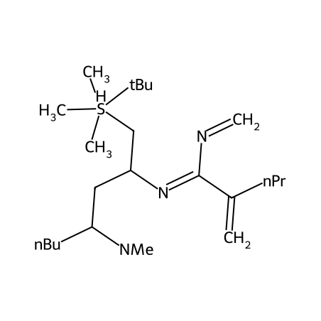 C=N/C(=N\C(CC(CCCC)NC)C[SH](C)(C)(C)C(C)(C)C)C(=C)CCC